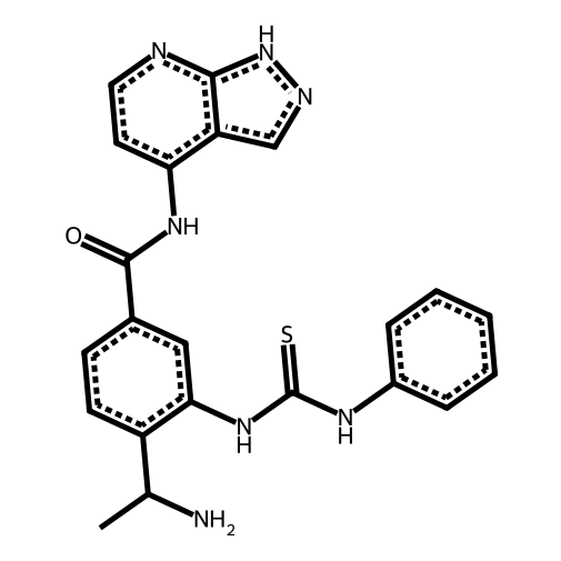 CC(N)c1ccc(C(=O)Nc2ccnc3[nH]ncc23)cc1NC(=S)Nc1ccccc1